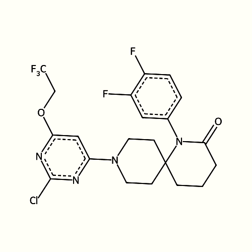 O=C1CCCC2(CCN(c3cc(OCC(F)(F)F)nc(Cl)n3)CC2)N1c1ccc(F)c(F)c1